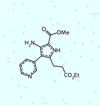 CCOC(=O)CCc1[nH]c(C(=O)OC)c(N)c1-c1cccnc1